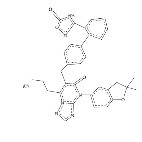 CCCc1c(Cc2ccc(-c3ccccc3-c3noc(=O)[nH]3)cc2)c(=O)n(-c2ccc3c(c2)CC(C)(C)O3)c2ncnn12.[KH]